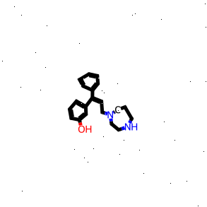 Oc1cccc(C(=CCN2CCCNCC2)c2ccccc2)c1